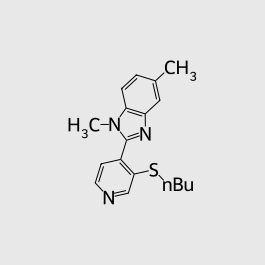 CCCCSc1cnccc1-c1nc2cc(C)ccc2n1C